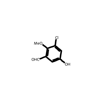 COc1c(Cl)cc(O)cc1C=O